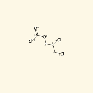 O=C(Cl)OCC(Cl)CCl